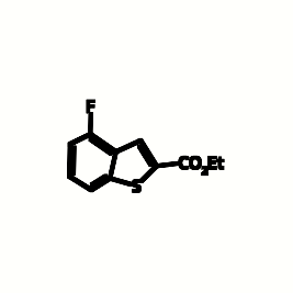 CCOC(=O)c1cc2c(F)cccc2s1